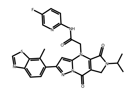 Cc1c(-c2cc3n(CC(=O)Nc4ccc(F)cn4)c4c(c(=O)n3n2)CN(C(C)C)C4=O)ccc2ncsc12